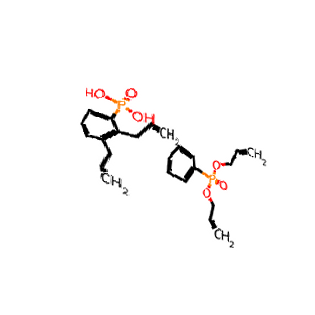 C=CCOP(=O)(OCC=C)c1ccccc1.C=CCc1cccc(P(=O)(O)O)c1CC=C